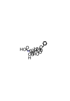 C/C(=C\C(=O)O)C(O)P(=O)(O)CC[C@H](NC(=O)OCc1ccccc1)C(=O)O